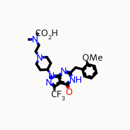 COc1ccccc1Cc1nc2c(c(C(F)(F)F)nn2C2CCN(CCN(C)C(=O)O)CC2)c(=O)[nH]1